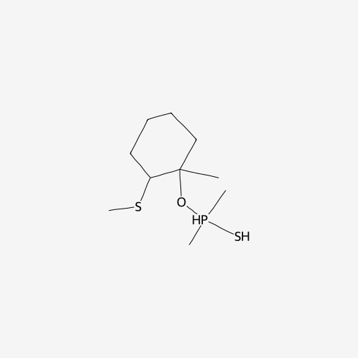 CSC1CCCCC1(C)O[PH](C)(C)S